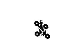 S=c1c2ccccc2nc2n(-c3nc(-c4ccccc4)nc(-c4ccccc4)n3)c3ccccc3n12